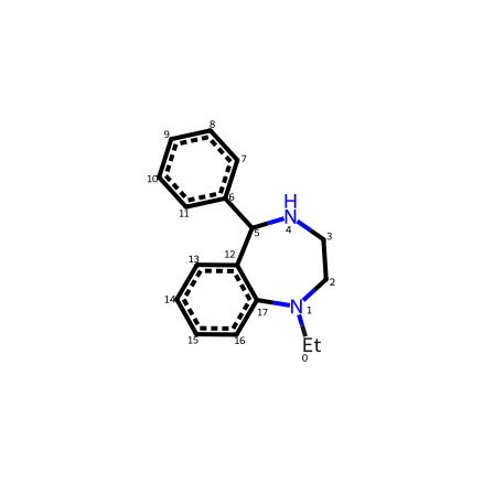 CCN1CCNC(c2ccccc2)c2ccccc21